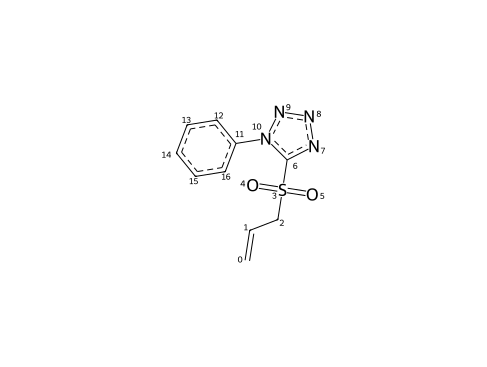 C=CCS(=O)(=O)c1nnnn1-c1ccccc1